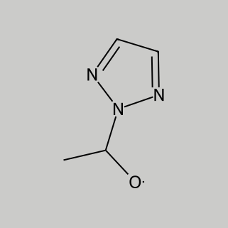 CC([O])n1nccn1